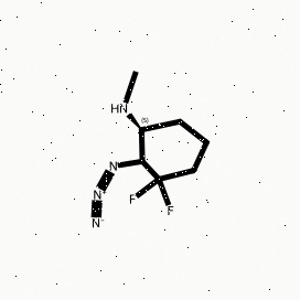 CN[C@H]1CCCC(F)(F)C1N=[N+]=[N-]